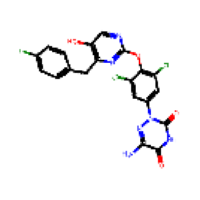 Nc1nn(-c2cc(Cl)c(Oc3ncc(O)c(Cc4ccc(F)cc4)n3)c(Cl)c2)c(=O)[nH]c1=O